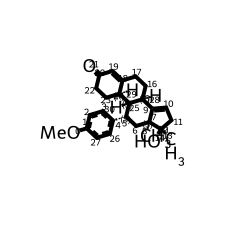 COc1ccc([C@H]2C[C@@]3(C)C(=CC[C@]3(C)O)[C@@H]3CCC4=CC(=O)CC[C@@H]4[C@@H]23)cc1